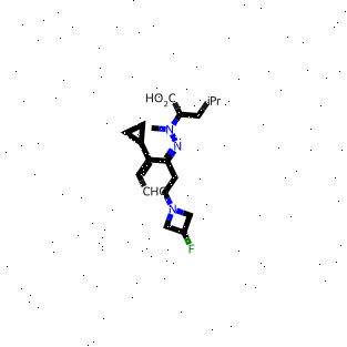 CC(C)CC(C(=O)O)N(C)/N=C(CCN1CC(F)C1)\C(=C/C=O)C1CC1